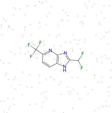 FC(F)c1nc2nc(C(F)(F)F)ccc2[nH]1